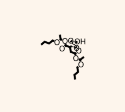 CCCCOC(C)OC(=O)CC(C(=O)OC(C)OCCCC)S(=O)(=O)O